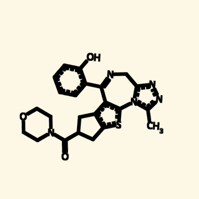 Cc1nnc2n1-c1sc3c(c1C(c1ccccc1O)=NC2)CC(C(=O)N1CCOCC1)C3